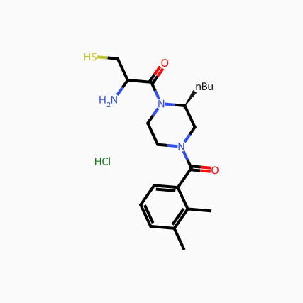 CCCC[C@H]1CN(C(=O)c2cccc(C)c2C)CCN1C(=O)C(N)CS.Cl